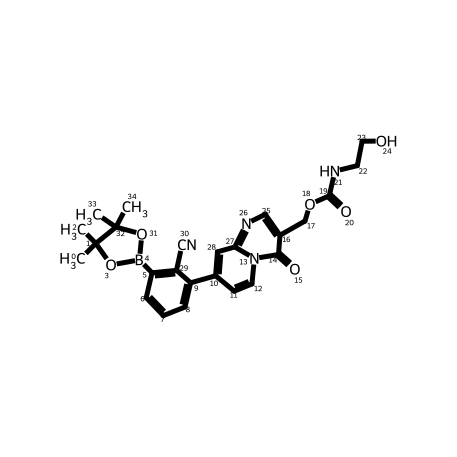 CC1(C)OB(c2cccc(-c3ccn4c(=O)c(COC(=O)NCCO)cnc4c3)c2C#N)OC1(C)C